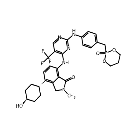 CN1Cc2c(c(Nc3nc(Nc4ccc(CP5(=O)OCCCO5)cc4)ncc3C(F)(F)F)ccc2[C@H]2CC[C@H](O)CC2)C1=O